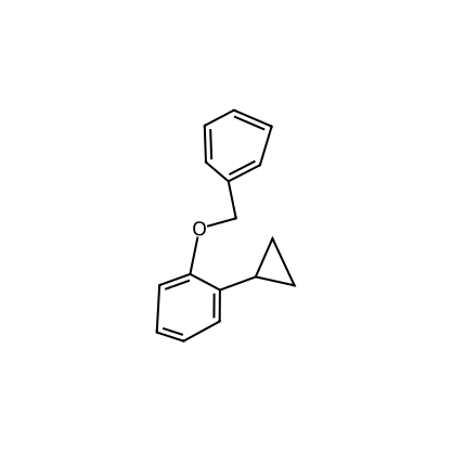 c1ccc(COc2ccccc2C2CC2)cc1